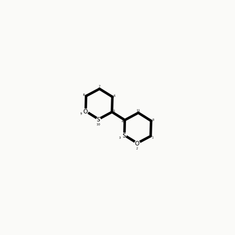 C1COSC(C2CCCOS2)C1